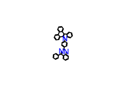 c1ccc(-c2nc(-c3ccc(-n4c5ccccc5c5c6ccccc6c6ccccc6c54)cc3)nc3ccccc23)cc1